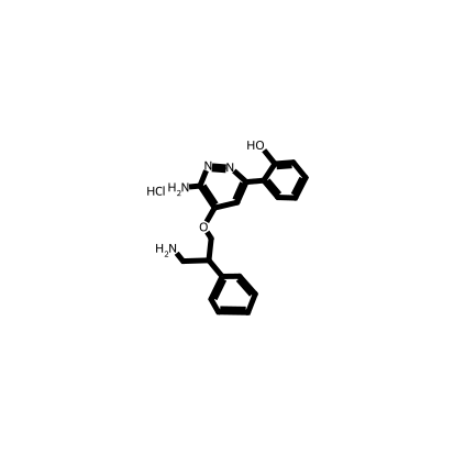 Cl.NCC(COc1cc(-c2ccccc2O)nnc1N)c1ccccc1